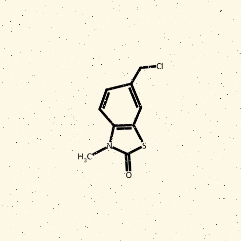 Cn1c(=O)sc2cc(CCl)ccc21